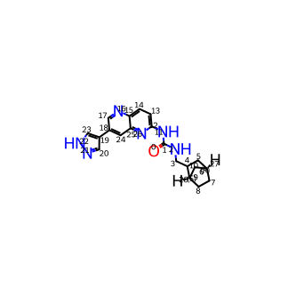 O=C(NCC1C[C@@H]2CC[C@H]1C2)Nc1ccc2ncc(-c3cn[nH]c3)cc2n1